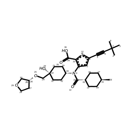 CC(C)(C)C#Cc1cc(N(C(=O)[C@H]2CC[C@H](C)CC2)[C@H]2CC[C@](O)(CO[C@@H]3CCOC3)CC2)c(C(=O)O)s1